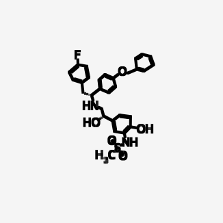 CS(=O)(=O)Nc1cc([C@H](O)CN[C@H](Cc2ccc(F)cc2)c2ccc(OCc3ccccc3)cc2)ccc1O